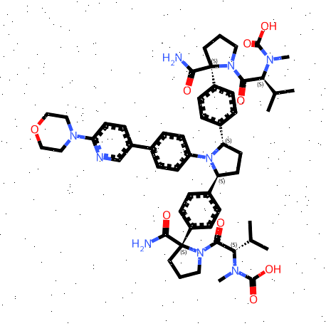 CC(C)[C@@H](C(=O)N1CCC[C@@]1(C(N)=O)c1ccc([C@@H]2CC[C@@H](c3ccc([C@]4(C(N)=O)CCCN4C(=O)[C@H](C(C)C)N(C)C(=O)O)cc3)N2c2ccc(-c3ccc(N4CCOCC4)nc3)cc2)cc1)N(C)C(=O)O